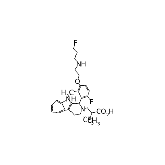 Cc1c(OCCNCCCF)ccc(F)c1C1c2[nH]c3ccccc3c2C[C@@H](C(F)(F)F)N1CC(C)C(=O)O